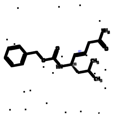 CC(C)C[C@@H](/C=C/CC(N)=O)NC(=O)OCc1ccccc1